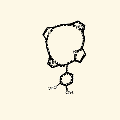 COc1cc(-c2c3nc(cc4ccc(cc5nc(cc6ccc2[nH]6)C=C5)[nH]4)C=C3)ccc1O